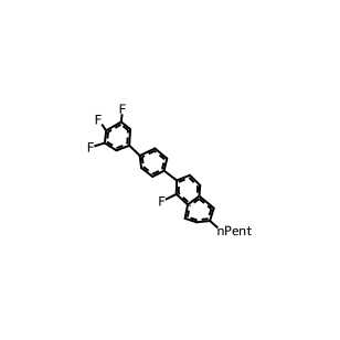 CCCCCc1ccc2c(F)c(-c3ccc(-c4cc(F)c(F)c(F)c4)cc3)ccc2c1